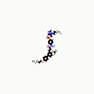 CCCOc1ccc(-c2ccc(OC(F)F)c(/C=C/C(=O)Nc3ccc([S+]([O-])Cc4cncn4CCC)cc3)c2)cc1